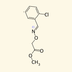 COC(=O)CO/N=C/c1c[c]ccc1Cl